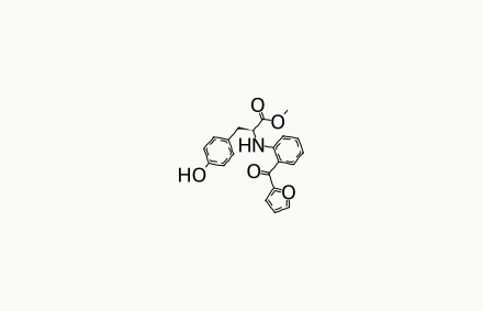 COC(=O)[C@H](Cc1ccc(O)cc1)Nc1ccccc1C(=O)c1ccco1